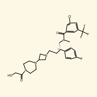 CN(C[C@@H](CCN1CC(N2CCN(C(=O)CO)CC2)C1)c1ccc(F)cc1)C(=O)c1cc(Cl)cc(C(F)(F)F)c1